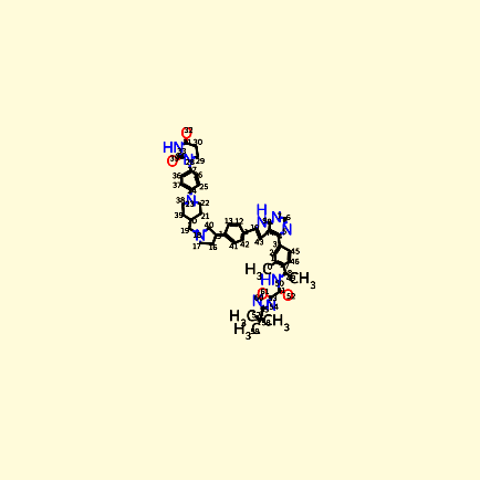 Cc1cc(-c2ncnc3[nH]c(-c4ccc(C5CCN(CC6CCN(c7ccc(N8CCC(=O)NC8=O)cc7)CC6)C5)cc4)cc23)ccc1C(C)NC(=O)c1nc(C(C)(C)C)no1